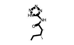 CC[C@@H](C)[CH]C(=O)Nc1nnn[nH]1